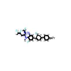 C\C(F)=C(F)/C=C(\C=C(/C)F)N(C)c1c(N)cc(C2=CC=C(c3ccc(C(C)C)cc3)CC2F)cc1F